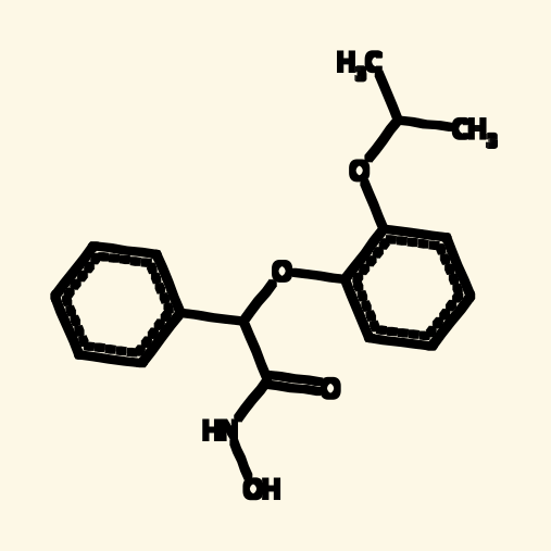 CC(C)Oc1ccccc1OC(C(=O)NO)c1ccccc1